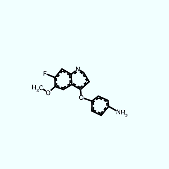 COc1cc2c(Oc3ccc(N)cc3)ccnc2cc1F